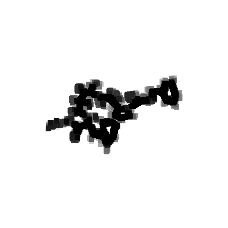 COC(=O)C(Cc1ccccc1)NC(=O)C(F)(F)C(=O)C(NC(=O)C1CCCN1C(=O)OCc1ccccc1)C(C)C